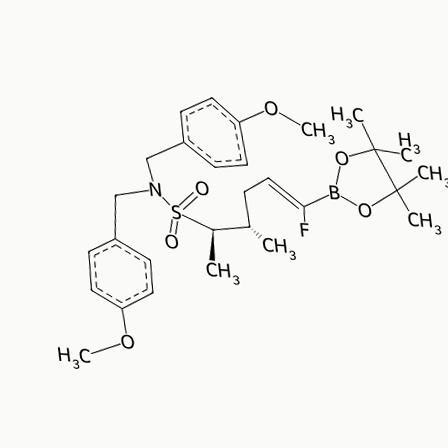 COc1ccc(CN(Cc2ccc(OC)cc2)S(=O)(=O)[C@H](C)[C@@H](C)C/C=C(\F)B2OC(C)(C)C(C)(C)O2)cc1